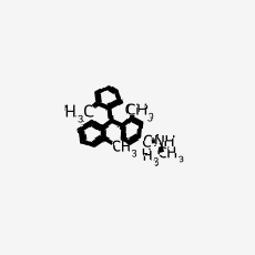 CNC.Cc1ccccc1C(c1ccccc1C)c1ccccc1C